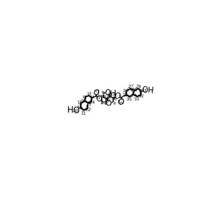 O=C(O[C@@H]1CO[C@H]2[C@@H]1OC[C@H]2OC(=O)c1ccc2cc(O)ccc2c1)c1ccc2cc(O)ccc2c1